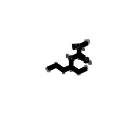 [CH2]CCC(CC)OC(=O)NC